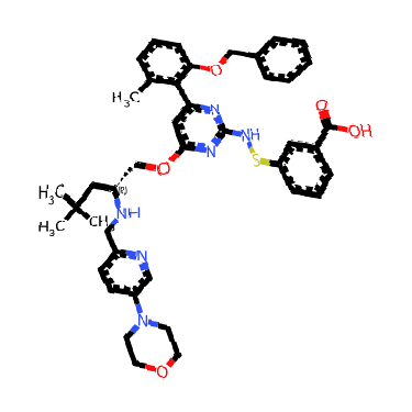 Cc1cccc(OCc2ccccc2)c1-c1cc(OC[C@@H](CC(C)(C)C)NCc2ccc(N3CCOCC3)cn2)nc(NSc2cccc(C(=O)O)c2)n1